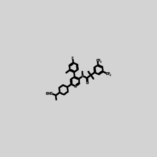 Cc1cc(F)ccc1-c1cc(C2CCC(C(C)C=O)CC2)ncc1N(C)C(=O)C(C)(C)c1cc(C(F)(F)F)cc(C(F)(F)F)c1